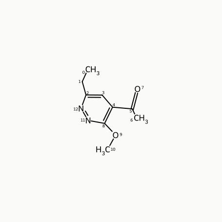 CCc1cc(C(C)=O)c(OC)nn1